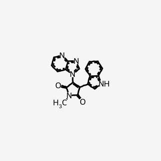 CN1C(=O)C(c2c[nH]c3ccccc23)=C(n2cnc3ncccc32)C1=O